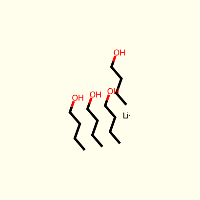 CCCCO.CCCCO.CCCCO.CCCCO.[Li]